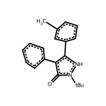 Cc1cccc(-c2[nH]n(C(C)(C)C)c(=O)c2-c2ccccc2)c1